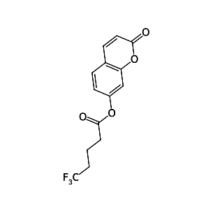 O=C(CCCC(F)(F)F)Oc1ccc2ccc(=O)oc2c1